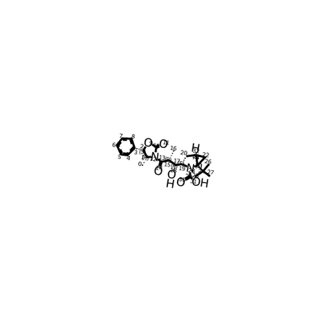 C[C@@H]1[C@H](c2ccccc2)OC(=O)N1C(=O)[C@H](C)[C@@H](O)[C@@H]1C[C@H]2C[C@]2(C(C)(C)C)N1C(=O)O